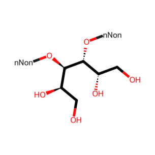 CCCCCCCCCO[C@@H]([C@H](OCCCCCCCCC)[C@@H](O)CO)[C@H](O)CO